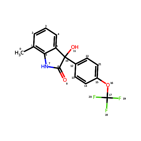 Cc1cccc2c1NC(=O)C2(O)c1ccc(OC(F)(F)F)cc1